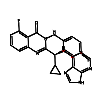 O=c1c2c(F)cccc2nc([C@@H](Nc2ncnc3[nH]cnc23)C2CC2)n1Nc1ccc(F)cc1